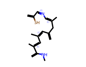 C=C(S)/C=N\C=C(/C)CC(=C)/C=C(C)\C=C(/C)C(=C)NC